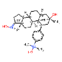 C[C@]1(O)C[C@@H]2CC[C@@H]3[C@H](CC[C@]4(C)C(=NO)CC[C@@H]34)[C@H]2[C@H](c2ccc([N+](C)(C)O)cc2)C1